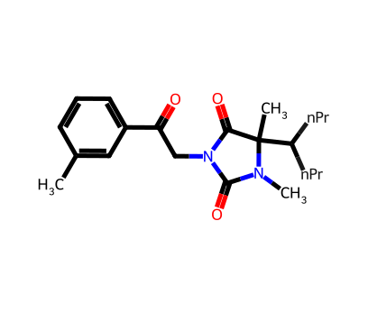 CCCC(CCC)C1(C)C(=O)N(CC(=O)c2cccc(C)c2)C(=O)N1C